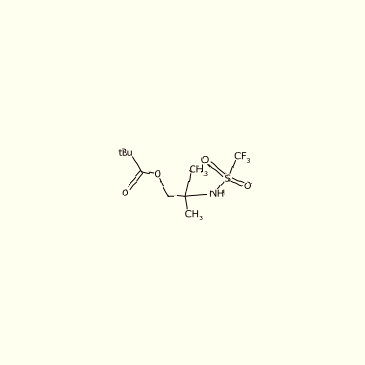 CC(C)(COC(=O)C(C)(C)C)NS(=O)(=O)C(F)(F)F